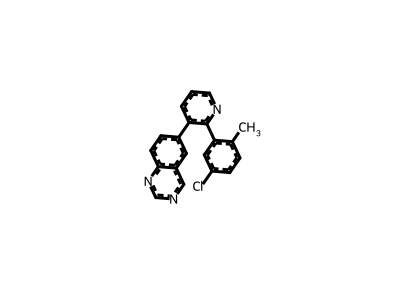 Cc1ccc(Cl)cc1-c1ncccc1-c1ccc2ncncc2c1